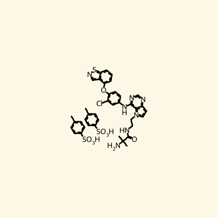 CC(C)(N)C(=O)NCCn1ccc2ncnc(Nc3ccc(Oc4cccc5sncc45)c(Cl)c3)c21.Cc1ccc(S(=O)(=O)O)cc1.Cc1ccc(S(=O)(=O)O)cc1